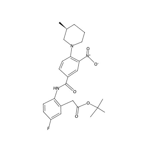 C[C@H]1CCCN(c2ccc(C(=O)Nc3ccc(F)cc3CC(=O)OC(C)(C)C)cc2[N+](=O)[O-])C1